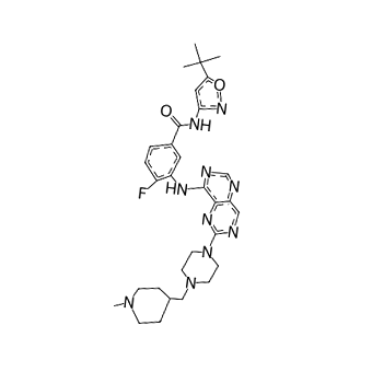 CN1CCC(CN2CCN(c3ncc4ncnc(Nc5cc(C(=O)Nc6cc(C(C)(C)C)on6)ccc5F)c4n3)CC2)CC1